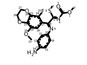 COC(=O)/N=C(SC)/C(=N/c1ccc(N)cc1)c1cc(OC)c2c(c1F)OCCO2